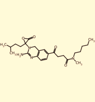 CCCCCN(C)C(=O)CCC(=O)c1ccc2c(c1)CN(C1(CCC(C)C)OC1=O)C(N)=N2